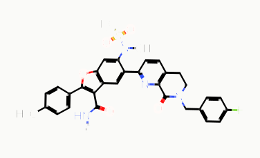 CNC(=O)c1c(-c2ccc(C)cc2)oc2cc(N(C)S(C)(=O)=O)c(-c3ccc4c(n3)C(=O)N(Cc3ccc(F)cc3)CC4)cc12